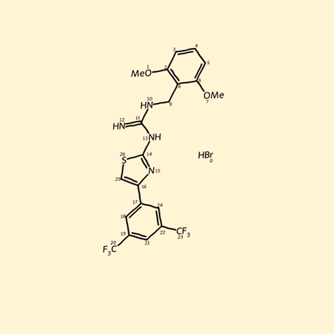 Br.COc1cccc(OC)c1CNC(=N)Nc1nc(-c2cc(C(F)(F)F)cc(C(F)(F)F)c2)cs1